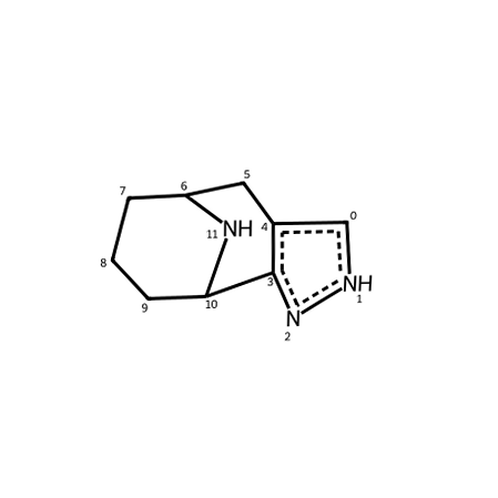 c1[nH]nc2c1CC1CCCC2N1